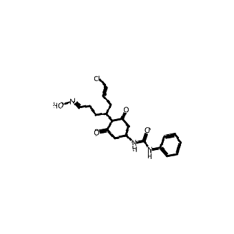 O=C(Nc1ccccc1)NC1CC(=O)C(C(CC=CCl)CCC=NO)C(=O)C1